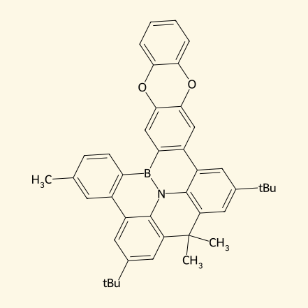 Cc1ccc2c(c1)-c1cc(C(C)(C)C)cc3c1N1B2c2cc4c(cc2-c2cc(C(C)(C)C)cc(c21)C3(C)C)Oc1ccccc1O4